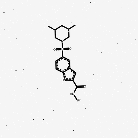 CC1CC(C)CN(S(=O)(=O)c2ccc3[nH]c(C(=O)NC(C)C)cc3c2)C1